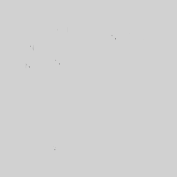 Cc1nnc(-c2ccc(Br)cc2)n1C[C@@H]1CCN(C(=O)O)C1